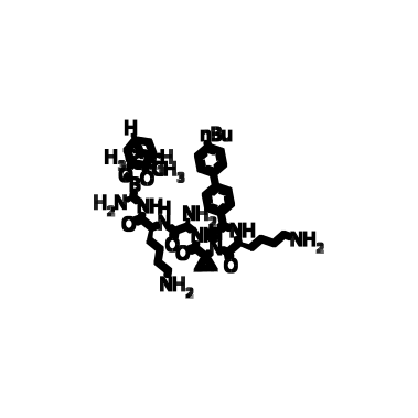 CCCCc1ccc(-c2ccc(C(=O)N[C@@H](CCCCN)C(=O)NC3(C(=O)N[C@@H](N)C(=O)N[C@@H](CCCCN)C(=O)N[C@@H](N)B4OC5C[C@@H]6C[C@@H](C6(C)C)[C@]5(C)O4)CC3)cc2)cc1